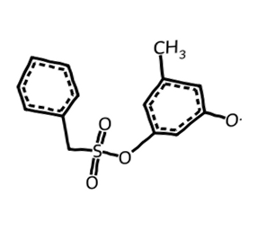 Cc1cc([O])cc(OS(=O)(=O)Cc2ccccc2)c1